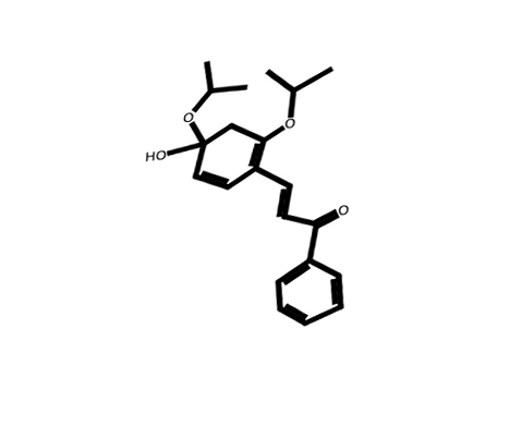 CC(C)OC1=C(C=CC(=O)c2ccccc2)C=CC(O)(OC(C)C)C1